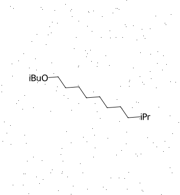 CC(C)CCCCCCCCOCC(C)C